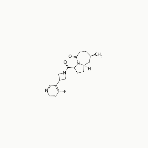 C[C@@H]1CCC(=O)N2[C@H](CC[C@H]2C(=O)N2CC(c3cnccc3F)C2)C1